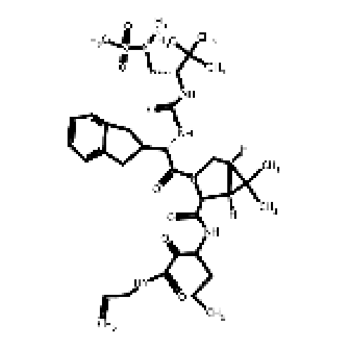 C=CCNC(=O)C(=O)C(CCC)NC(=O)[C@@H]1[C@@H]2[C@H](CN1C(=O)[C@@H](NC(=O)N[C@H](CN(C)S(C)(=O)=O)C(C)(C)C)C1Cc3ccccc3C1)C2(C)C